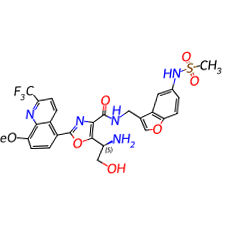 COc1ccc(-c2nc(C(=O)NCc3coc4ccc(NS(C)(=O)=O)cc34)c([C@@H](N)CO)o2)c2ccc(C(F)(F)F)nc12